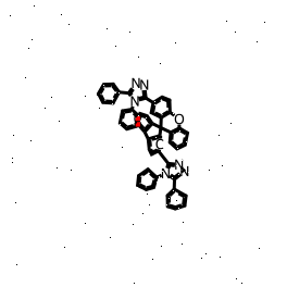 c1ccc(-c2nnc(-c3ccc4c(c3)C3(c5ccccc5O4)c4ccccc4-c4ccc(-c5nnc(-c6ccccc6)n5-c5ccccc5)cc43)n2-c2ccccc2)cc1